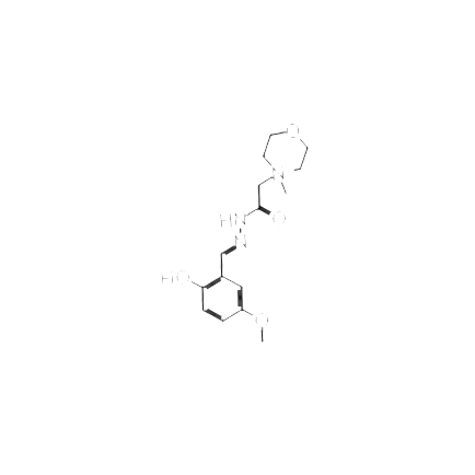 COc1ccc(O)c(C=NNC(=O)C[N+]2(C)CCOCC2)c1